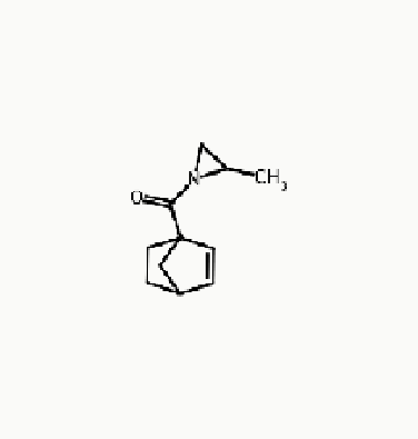 CC1CN1C(=O)C12C=CC(CC1)C2